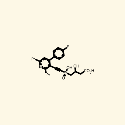 CC(C)c1cc(-c2ccc(F)cc2)c(C#CP(=O)(O)CC(O)CC(=O)O)c(C(C)C)n1